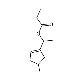 CCC(=O)OC(C)C1=CCC(C)C1